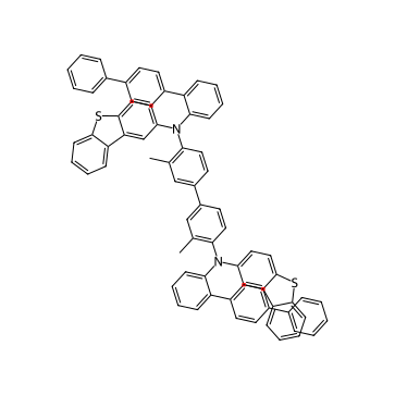 Cc1cc(-c2ccc(N(c3ccc4sc5ccccc5c4c3)c3ccccc3-c3ccc(-c4ccccc4)cc3)c(C)c2)ccc1N(c1ccc2sc3ccccc3c2c1)c1ccccc1-c1ccc(-c2ccccc2)cc1